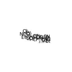 CCC(Oc1ccc(C(c2ccc(Oc3cccc(C(Cl)(CC)CC)c3C#N)cc2)(C(F)(F)F)C(F)(F)F)cc1)c1cccc(Cl)c1C#N